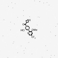 COc1cc(C(F)(F)F)cnc1N1CCN(C(=O)C2CNC2)CC1.Cl